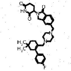 CC1(C)CCC(CN2CCN(Cc3ccc4c(c3)CN(C3CCC(=O)NC3=O)C4=O)CC2)=C(c2ccc(F)cc2)C1